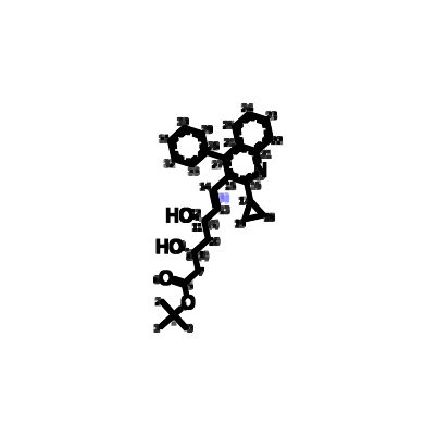 CC(C)(C)OC(=O)C[C@H](O)C[C@H](O)/C=C/c1c(C2CC2)nc2ccccc2c1-c1ccccc1